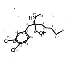 CCCCCC(CO)(Cc1ccc(Cl)c(Cl)c1)NC